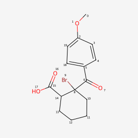 COc1ccc(C(=O)C2(Br)CCCCC2C(=O)O)cc1